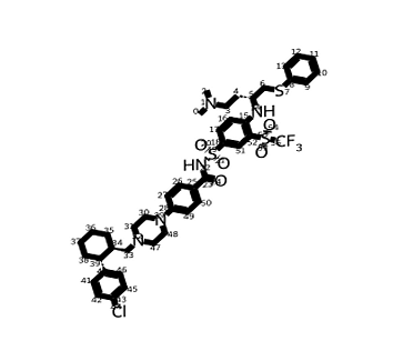 CN(C)CC[C@H](CSc1ccccc1)Nc1ccc(S(=O)(=O)NC(=O)c2ccc(N3CCN(C[C@@H]4CCCC[C@H]4c4ccc(Cl)cc4)CC3)cc2)cc1S(=O)(=O)C(F)(F)F